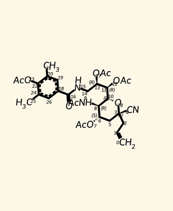 C=CC[C@]1(C#N)C[C@H](OC(C)=O)[C@@H](NC(C)=O)[C@H]([C@H](OC(C)=O)[C@@H](CNC(=O)c2cc(C)c(OC(C)=O)c(C)c2)OC(C)=O)O1